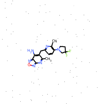 Cc1nc2nonc2c(N)c1Cc1ccc(N2CCC(F)(F)C2)c(C#N)n1